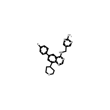 Fc1ccc(-c2cc(C3CCOCC3)c3ncnc(NCc4cnc(C(F)(F)F)nc4)c3c2)cc1